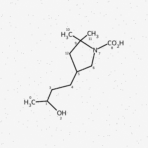 CC(O)CCC1CN(C(=O)O)C(C)(C)C1